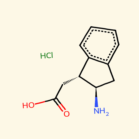 Cl.N[C@@H]1Cc2ccccc2[C@H]1CC(=O)O